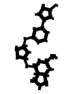 Cc1nc(-c2cccc(Cn3cc(Cc4cc(N)nc5nn[nH]c45)cn3)c2)no1